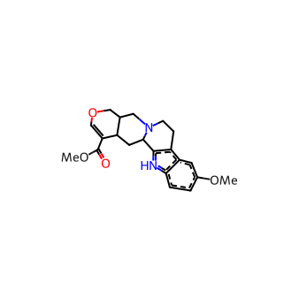 COC(=O)C1=COCC2CN3CCc4c([nH]c5ccc(OC)cc45)C3CC12